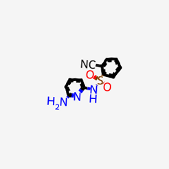 N#Cc1ccccc1S(=O)(=O)Nc1cccc(N)n1